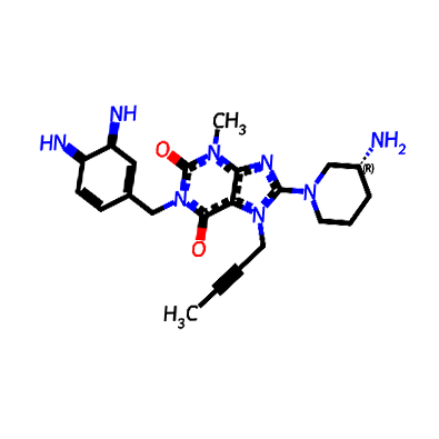 CC#CCn1c(N2CCC[C@@H](N)C2)nc2c1c(=O)n(CC1=CC(=N)C(=N)C=C1)c(=O)n2C